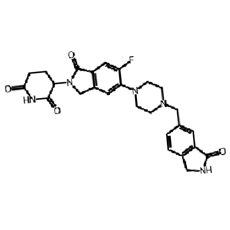 O=C1CCC(N2Cc3cc(N4CCN(Cc5ccc6c(c5)C(=O)NC6)CC4)c(F)cc3C2=O)C(=O)N1